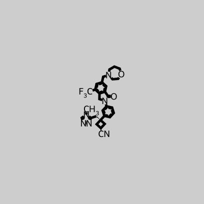 Cn1cnnc1C[C@]1(c2cccc(N3Cc4c(cc(CN5CCCOCC5)cc4C(F)(F)F)C3=O)c2)C[C@H](C#N)C1